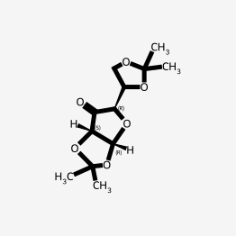 CC1(C)OCC([C@H]2O[C@@H]3OC(C)(C)O[C@@H]3C2=O)O1